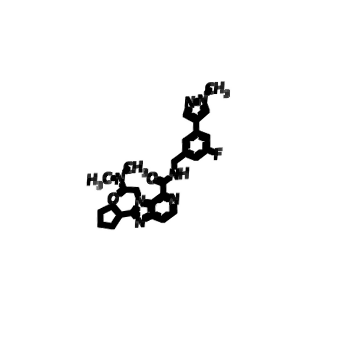 CN(C)C(=O)Cn1c(C2CCCC2)nc2ccnc(C(=O)NCc3cc(F)cc(-c4cnn(C)c4)c3)c21